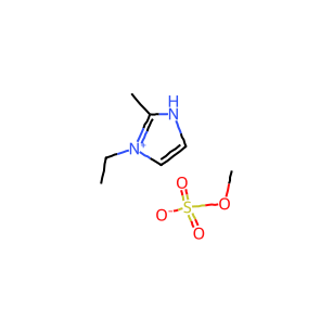 CC[n+]1cc[nH]c1C.COS(=O)(=O)[O-]